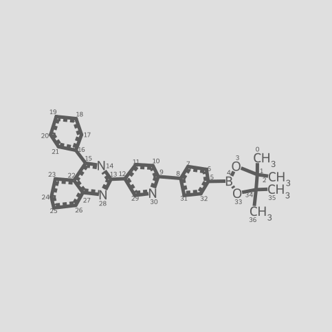 CC1(C)OB(c2ccc(-c3ccc(-c4nc(-c5ccccc5)c5ccccc5n4)cn3)cc2)OC1(C)C